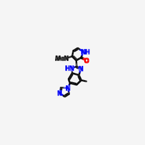 CNc1cc[nH]c(=O)c1-c1nc2c(C)cc(-n3ccnc3)cc2[nH]1